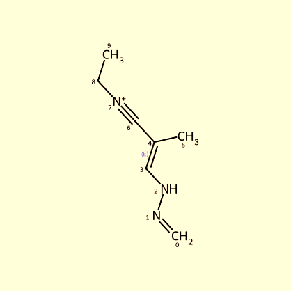 C=NN/C=C(\C)C#[N+]CC